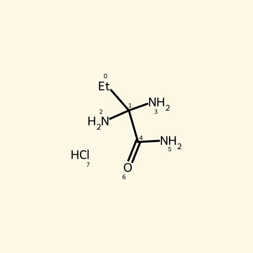 CCC(N)(N)C(N)=O.Cl